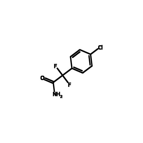 NC(=O)C(F)(F)c1ccc(Cl)cc1